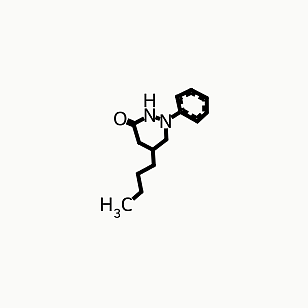 CCCCC1CC(=O)NN(c2ccccc2)C1